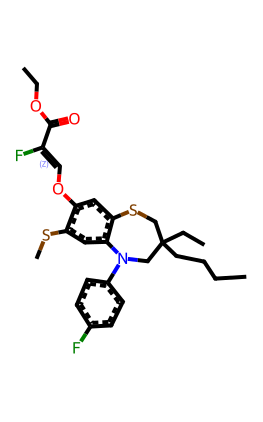 CCCCC1(CC)CSc2cc(O/C=C(\F)C(=O)OCC)c(SC)cc2N(c2ccc(F)cc2)C1